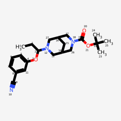 CCC(Oc1cccc(C#N)c1)N1CC2CC(CN(C(=O)OC(C)(C)C)C2)C1